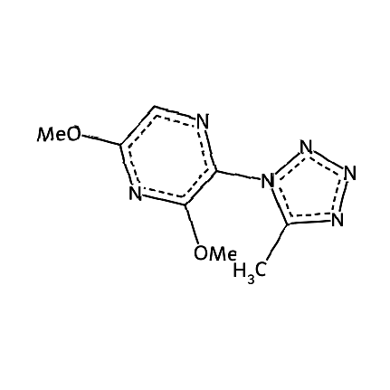 COc1cnc(-n2nnnc2C)c(OC)n1